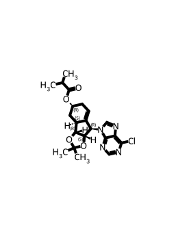 CC(C)C(=O)O[C@@H]1CC=C2[C@@H](n3cnc4c(Cl)ncnc43)[C@@H]3OC(C)(C)O[C@@H]3[C@H]2C1